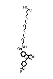 Cn1cc2c3cc(C(=O)NCCOCCOCCOCCOCCCC(=O)O)ccc3n(-c3ccc(C(F)(F)F)cc3)c2n1